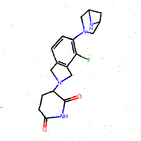 O=C1CCC(N2Cc3ccc(N4CC5CC(C4)N5)c(F)c3C2)C(=O)N1